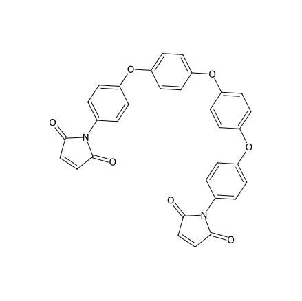 O=C1C=CC(=O)N1c1ccc(Oc2ccc(Oc3ccc(Oc4ccc(N5C(=O)C=CC5=O)cc4)cc3)cc2)cc1